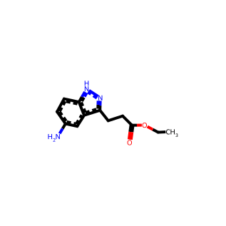 CCOC(=O)CCc1n[nH]c2ccc(N)cc12